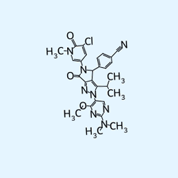 COc1nc(N(C)C)ncc1-n1nc2c(c1C(C)C)C(c1ccc(C#N)cc1)N(c1cc(Cl)c(=O)n(C)c1)C2=O